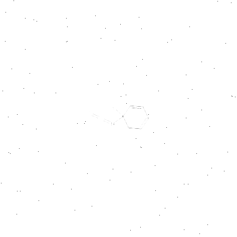 O=C=NC1(F)C=CC=CC1